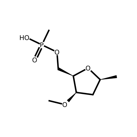 CO[C@@H]1C[C@H](C)O[C@@H]1COP(C)(=O)O